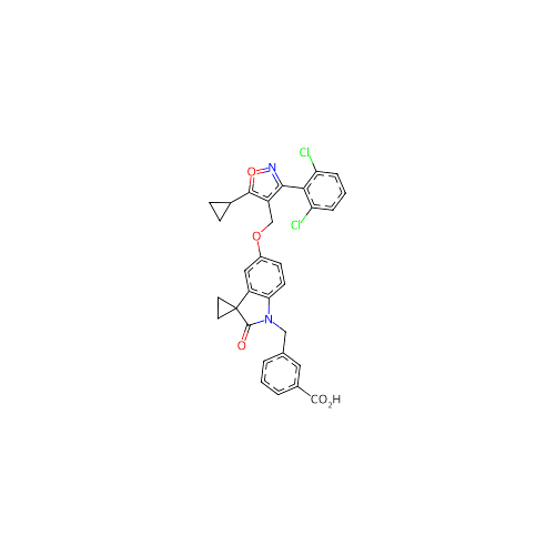 O=C(O)c1cccc(CN2C(=O)C3(CC3)c3cc(OCc4c(-c5c(Cl)cccc5Cl)noc4C4CC4)ccc32)c1